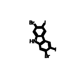 Brc1cc2[nH]c3cc(Br)c(I)cc3c2cc1I